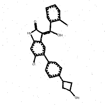 O=C1Nc2cc(Cl)c(-c3ccc(C4CC(O)C4)cc3)cc2C1=C(O)c1ccccc1F